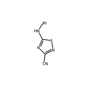 CC(C)Nc1nc(C#N)ns1